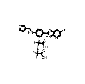 Brc1cnc2[nH]c(-c3ccc(NCc4ccoc4)cc3)nc2c1.O=C(O)C(F)(F)F.O=C(O)C(F)(F)F